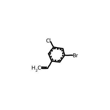 C=Cc1cc(Cl)cc(Br)c1